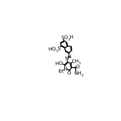 CCn1c(O)c(N=Nc2ccc3cc(S(=O)(=O)O)cc(S(=O)(=O)O)c3c2)c(C)c(C(N)=O)c1=O